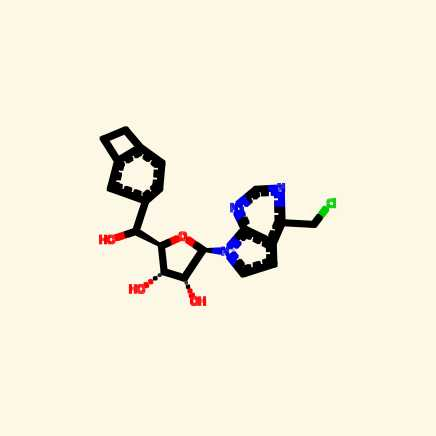 OC(c1ccc2c(c1)CC2)[C@H]1O[C@@H](n2ccc3c(CCl)ncnc32)[C@H](O)[C@@H]1O